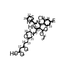 CCOC(=O)C1=C(CN2CCO[C@H](CCC(=O)CC(=O)O)C2)NC(c2nccs2)=N[C@H]1c1ccc(F)cc1Cl